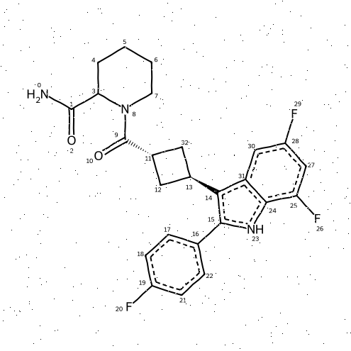 NC(=O)C1CCCCN1C(=O)[C@H]1C[C@H](c2c(-c3ccc(F)cc3)[nH]c3c(F)cc(F)cc32)C1